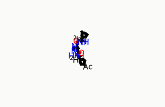 [2H]C([2H])(NC(=O)c1cc(C(=O)NC([2H])([2H])c2cccc(C)c2)ncn1)c1ccc(C(C)=O)cc1